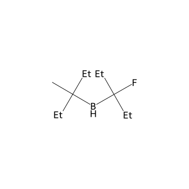 CCC(C)(BC(F)(CC)CC)CC